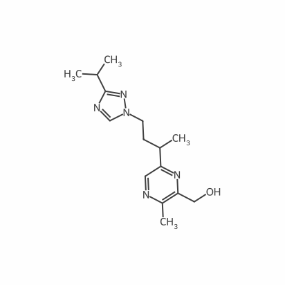 Cc1ncc(C(C)CCn2cnc(C(C)C)n2)nc1CO